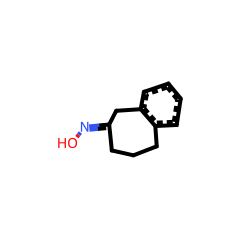 O/N=C1\CCCc2ccccc2C1